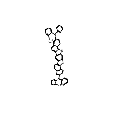 Cc1ccccc1N(c1ccccc1)c1ccc2c(ccc3c4cc5c(cc4sc23)sc2c3ccc(N(c4ccccc4)c4ccccc4C)cc3ccc52)c1